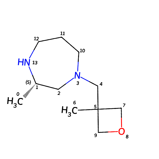 C[C@H]1CN(CC2(C)COC2)CCCN1